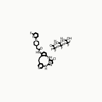 O=C(CC1CCN(c2cccc(F)n2)CC1)Nc1ccc2cc1CCc1cncc(c1)Nc1ncc(Cl)c(n1)N2.O=C(O)C(F)(F)F.O=C(O)C(F)(F)F.O=C(O)C(F)(F)F